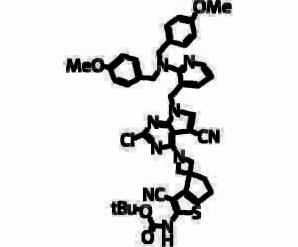 COc1ccc(CN(Cc2ccc(OC)cc2)c2ncccc2Cn2cc(C#N)c3c(N4CC5(CCc6sc(NC(=O)OC(C)(C)C)c(C#N)c65)C4)nc(Cl)nc32)cc1